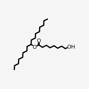 CCCCCCCCC(CCCCCCCC)OC(=O)CCCCCCCO